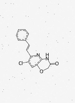 O=C1COc2cc(Cl)c(C=Cc3ccccc3)nc2N1